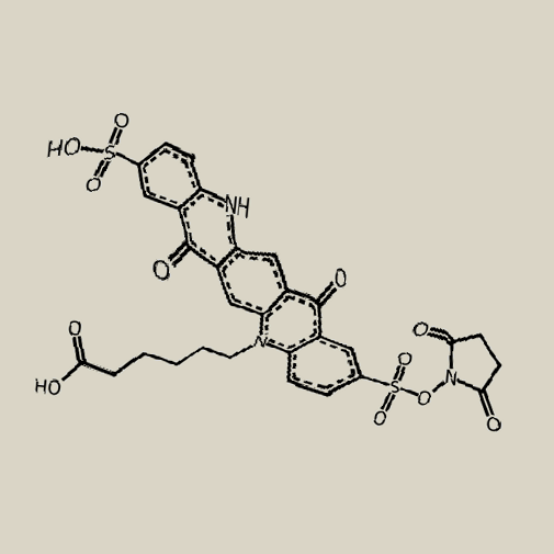 O=C(O)CCCCCn1c2ccc(S(=O)(=O)ON3C(=O)CCC3=O)cc2c(=O)c2cc3[nH]c4ccc(S(=O)(=O)O)cc4c(=O)c3cc21